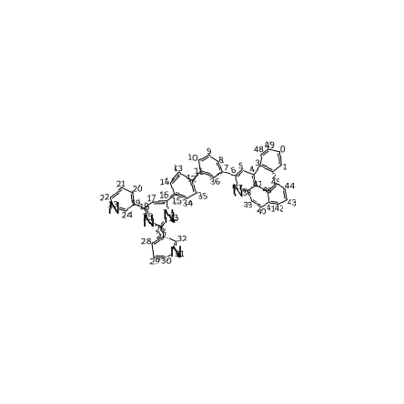 c1ccc(-c2cc(-c3cccc(-c4ccc(-c5cc(-c6cccnc6)nc(-c6cccnc6)n5)cc4)c3)nc3ccc4ccccc4c23)cc1